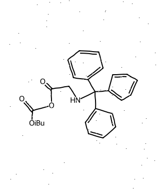 CC(C)COC(=O)OC(=O)CNC(c1ccccc1)(c1ccccc1)c1ccccc1